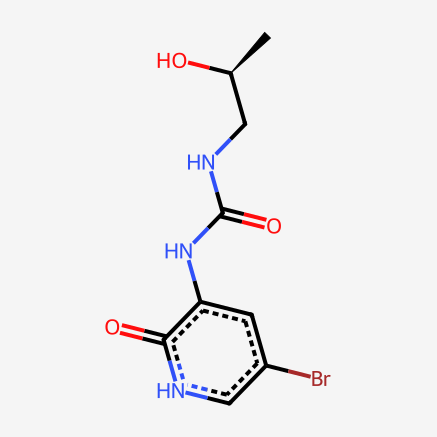 C[C@H](O)CNC(=O)Nc1cc(Br)c[nH]c1=O